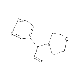 S=CC(c1cccnc1)N1CCOCC1